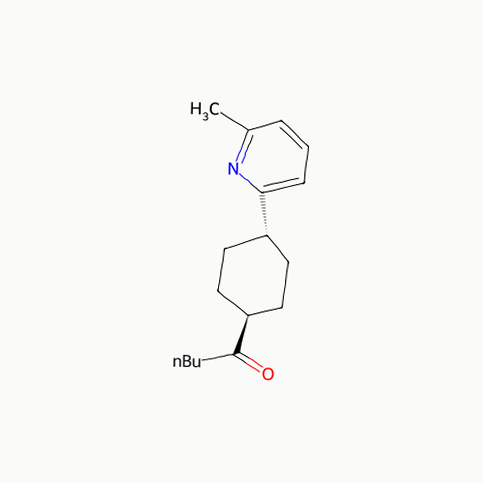 CCCCC(=O)[C@H]1CC[C@H](c2cccc(C)n2)CC1